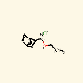 CCO[SiH](Cl)C1CC2C=CC1C2